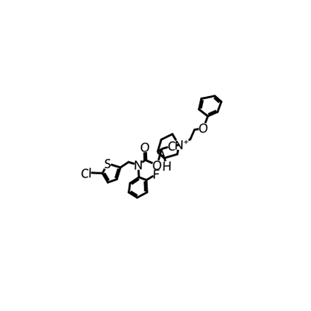 O=C(O[C@H]1C[N+]2(CCOc3ccccc3)CCC1CC2)N(Cc1ccc(Cl)s1)c1ccccc1F